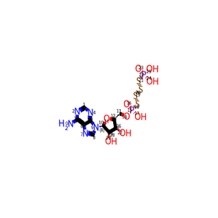 Nc1ncnc2c1ncn2[C@@H]1O[C@H](COP(=O)(O)SSSSP(=O)(O)O)[C@@H](O)[C@H]1O